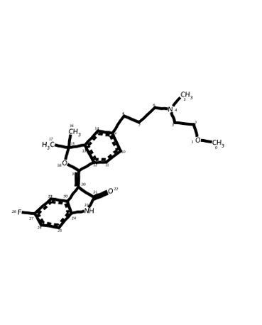 COCCN(C)CCCc1ccc2c(c1)C(C)(C)OC2=C1C(=O)Nc2ccc(F)cc21